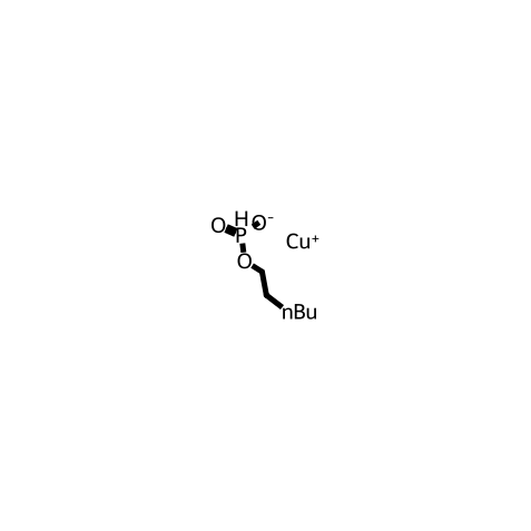 CCCCCCO[PH](=O)[O-].[Cu+]